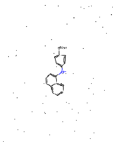 CCCCCCCCCc1ccc(Nc2cccc3ccccc23)cc1